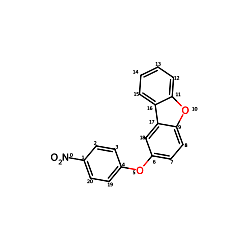 O=[N+]([O-])c1ccc(Oc2ccc3oc4ccccc4c3c2)cc1